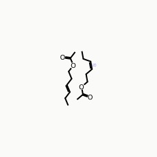 CC/C=C\CCOC(C)=O.CCC=CCCOC(C)=O